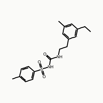 CCc1[c]c(CCNC(=O)NS(=O)(=O)c2ccc(C)cc2)cc(C)c1